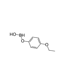 CCOc1ccc(OBO)cc1